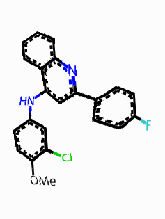 COc1ccc(Nc2cc(-c3ccc(F)cc3)nc3ccccc23)cc1Cl